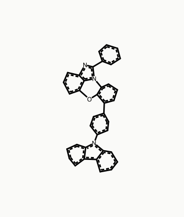 c1ccc(-c2nc3cccc4c3n2-c2cccc(-c3ccc(-n5c6ccccc6c6ccccc65)cc3)c2O4)cc1